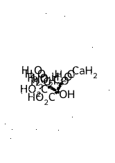 O.O.O.O.O.O.O.O=C(O)CC(O)(CC(=O)O)C(=O)O.[CaH2]